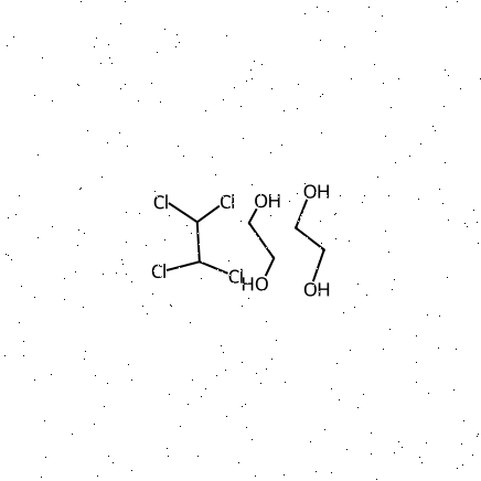 ClC(Cl)C(Cl)Cl.OCCO.OCCO